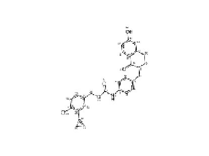 O=C(Nc1ccc(CC2CCc3cc(O)ccc3C2=O)cc1)OCc1ccc(Cl)c(C2=CC2)c1